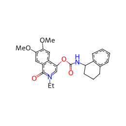 CCn1cc(OC(=O)NC2CCCc3ccccc32)c2cc(OC)c(OC)cc2c1=O